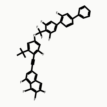 CC(C)(C)c1cc(OC(F)(F)c2c(F)cc(-c3ccc(-c4ccccc4)cc3F)cc2F)cc(F)c1C#Cc1cc(F)c2c(F)c(F)c(F)cc2c1